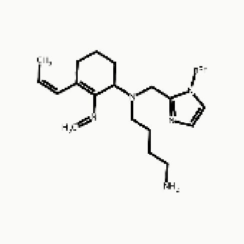 C=NC1=C(/C=C\C)CCCC1N(CCCCN)Cc1nccn1CCC